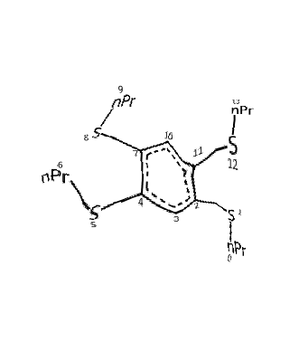 CCCSc1cc(SCCC)c(SCCC)cc1SCCC